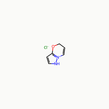 C1=C[n+]2[nH]ccc2OC1.[Cl-]